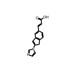 O=C(O)C=Cc1ccc2c(c1)C=C(n1ccnc1)C2